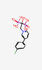 O=P(O)(O)C(O)(C[n+]1cccc(-c2ccc(F)cc2)c1)P(=O)(O)O